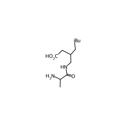 CCC(C)CC(CNC(=O)C(C)N)CC(=O)O